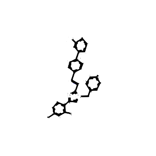 O=C(O)c1ccc(Cn2cc(-c3ccc(Cl)cc3Cl)nc2/C=C/c2ccc(-c3cccc(C(=O)O)c3)cc2)cc1